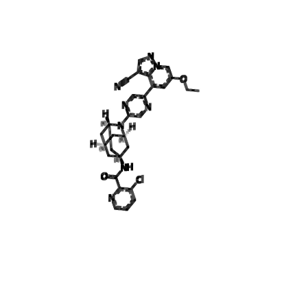 CCOc1cc(-c2cnc(N3[C@@H]4C[C@@H]5C[C@H]3C[C@@](NC(=O)c3ncccc3Cl)(C5)C4)cn2)c2c(C#N)cnn2c1